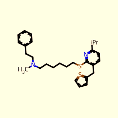 CC(C)c1ccc(Cc2cccs2)c(SCCCCCCN(C)CCc2ccccc2)n1